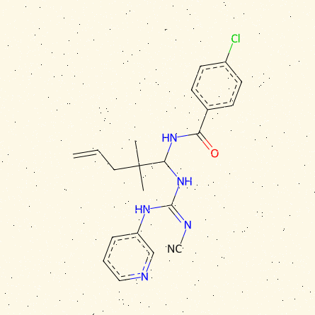 C=CCC(C)(C)C(NC(=O)c1ccc(Cl)cc1)NC(=NC#N)Nc1cccnc1